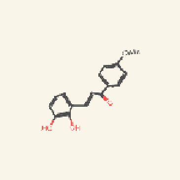 COc1ccc(C(=O)C=Cc2cccc(O)c2O)cc1